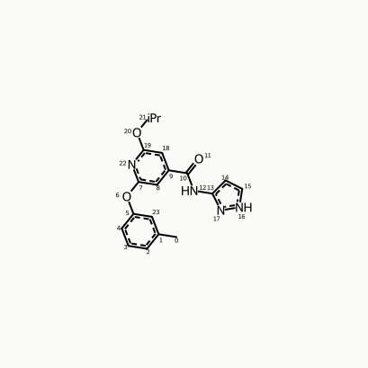 Cc1cccc(Oc2cc(C(=O)Nc3cc[nH]n3)cc(OC(C)C)n2)c1